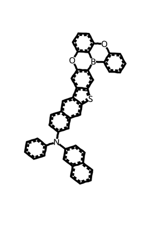 c1ccc(N(c2ccc3ccccc3c2)c2ccc3cc4c(cc3c2)sc2cc3c(cc24)Oc2cccc4c2B3c2ccccc2O4)cc1